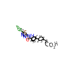 O=C(O)CC1CCC(c2ccc(C(=O)Nc3nnc(Br)s3)cc2)CC1